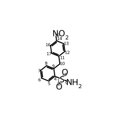 NS(=O)(=O)c1ccccc1Cc1ccc([N+](=O)[O-])cc1